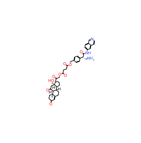 C[C@]12CCC(=O)C=C1CC[C@@H]1[C@@H]2C(=O)C[C@@]2(C)[C@H]1CC[C@]2(O)C(=O)COC(=O)CCC(=O)OCc1ccc([C@@H](CN)C(=O)Nc2ccc3cnccc3c2)cc1